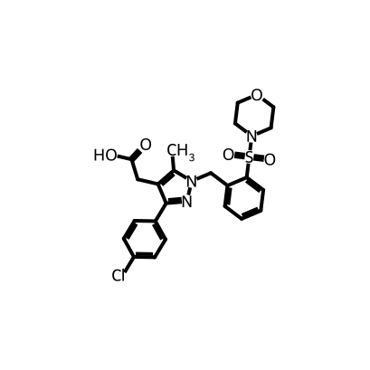 Cc1c(CC(=O)O)c(-c2ccc(Cl)cc2)nn1Cc1ccccc1S(=O)(=O)N1CCOCC1